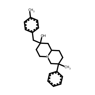 Cc1ccc(CC2(O)CCN3CC(C)(c4ccccc4)CCC3C2)cc1